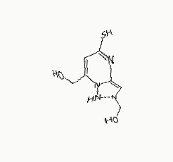 OCC1=CC(S)=NC2=CN(CO)NN12